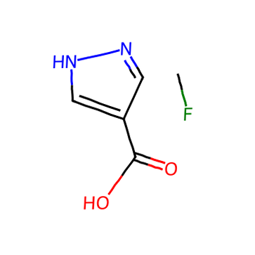 CF.O=C(O)c1cn[nH]c1